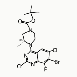 C[C@@H]1CN(C(=O)OC(C)(C)C)CCN1c1nc(Cl)nc2c(F)c(Br)c(Cl)cc12